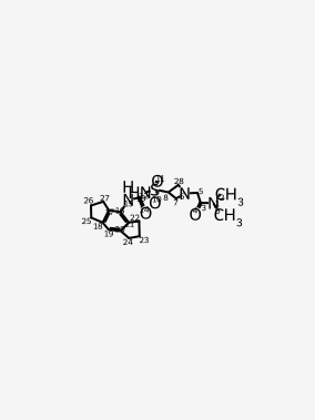 CN(C)C(=O)CN1CC(S(=O)(=O)NC(=O)Nc2c3c(cc4c2CCC4)CCC3)C1